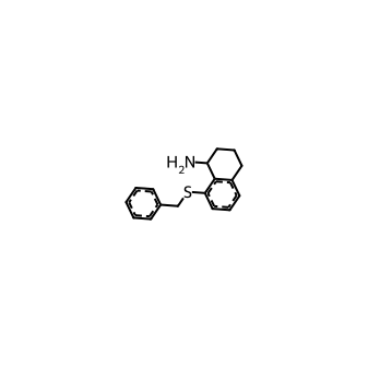 NC1CCCc2cccc(SCc3ccccc3)c21